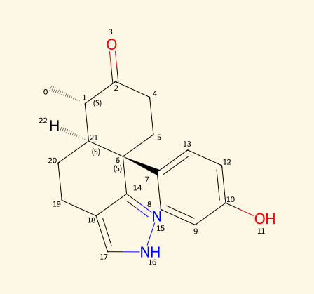 C[C@@H]1C(=O)CC[C@]2(c3ccc(O)cc3)c3n[nH]cc3CC[C@@H]12